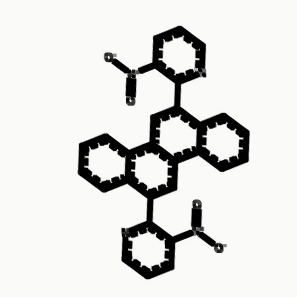 O=[N+]([O-])c1cccnc1-c1cc2c3ccccc3c(-c3ncccc3[N+](=O)[O-])cc2c2ccccc12